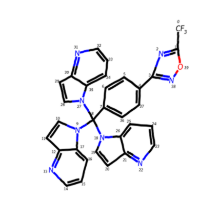 FC(F)(F)c1nc(-c2ccc(C(n3ccc4ncccc43)(n3ccc4ncccc43)n3ccc4ncccc43)cc2)no1